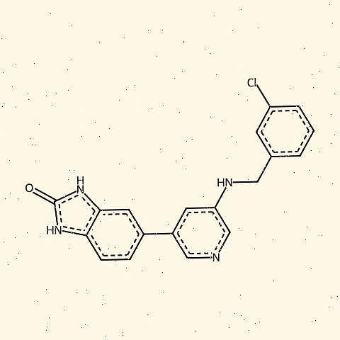 O=c1[nH]c2ccc(-c3cncc(NCc4cccc(Cl)c4)c3)cc2[nH]1